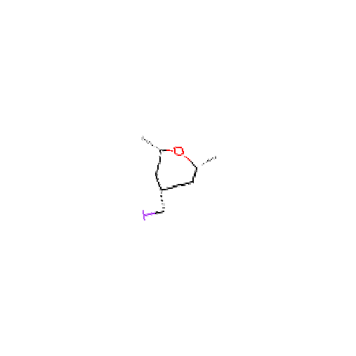 C[C@@H]1C[C@H](CI)C[C@H](C)O1